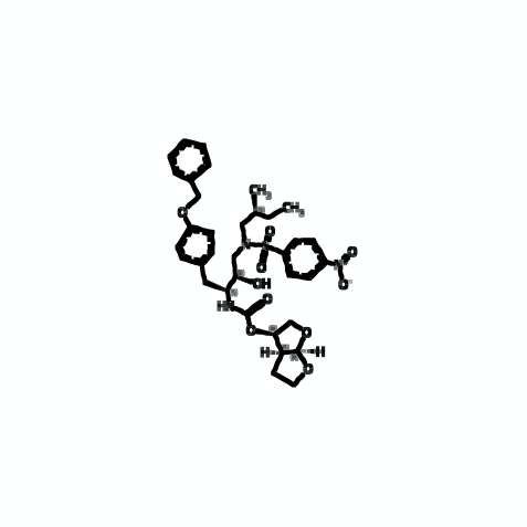 CC[C@H](C)CN(C[C@@H](O)[C@H](Cc1ccc(OCc2ccccc2)cc1)NC(=O)O[C@H]1CO[C@H]2OCC[C@H]21)S(=O)(=O)c1ccc([N+](=O)[O-])cc1